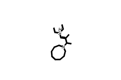 CC[SiH](C=C(C)C(C)N1CCCCCCCC1)CC